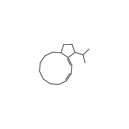 CC(C)C1CCC2CCCCCCCC=CC=C21